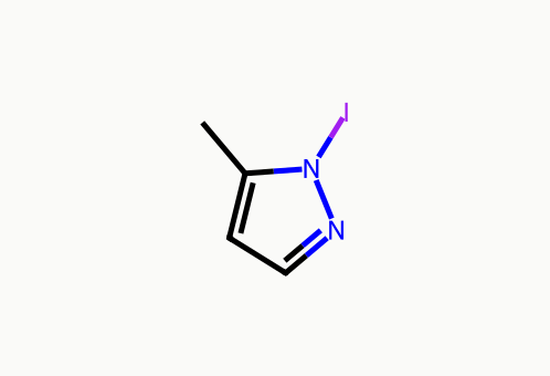 Cc1ccnn1I